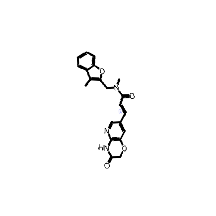 Cc1c(CN(C)C(=O)/C=C/c2cnc3c(c2)OCC(=O)N3)oc2ccccc12